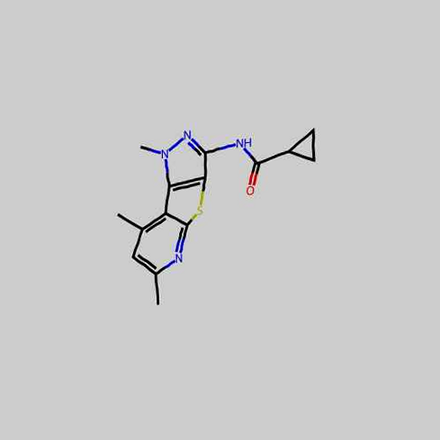 Cc1cc(C)c2c(n1)sc1c(NC(=O)C3CC3)nn(C)c12